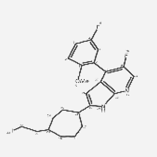 COc1ccc(F)cc1-c1c(F)cnc2[nH]c(C3CCCC(CCI)CC3)cc12